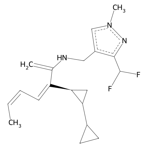 C=C(NCc1cn(C)nc1C(F)F)/C(=C\C=C/C)[C@H]1CC1C1CC1